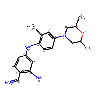 Cc1cc(N2CC(C)OC(C)C2)ccc1Nc1ccc(C=N)c(N)c1